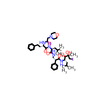 CC(C)C[C@H](NC(=O)[C@H](CCc1ccccc1)NC(=O)CN1CCOCC1)C(=O)NC[C@H](C(=O)N[C@@H](CC(C)C)C(=O)[C@](C)(O)CI)c1ccccc1